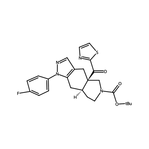 CC(C)(C)OC(=O)N1CC[C@H]2Cc3c(cnn3-c3ccc(F)cc3)C[C@]2(C(=O)c2nccs2)C1